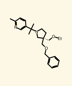 CCOC[C@@]1(COCc2ccccc2)CCN(C(C)(C)c2ccc(C)nc2)C1